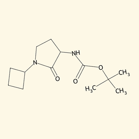 CC(C)(C)OC(=O)NC1CCN(C2CCC2)C1=O